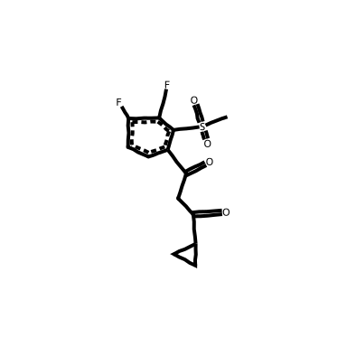 CS(=O)(=O)c1c(C(=O)CC(=O)C2CC2)ccc(F)c1F